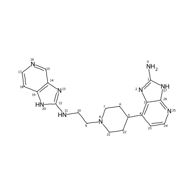 Nc1nc2c(C3CCN(CCNc4nc5cnccc5[nH]4)CC3)ccnc2[nH]1